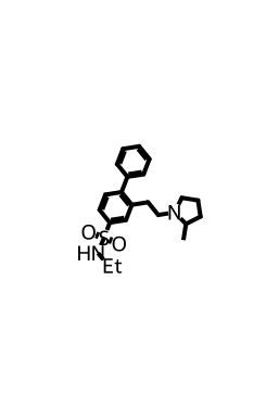 CCNS(=O)(=O)c1ccc(-c2ccccc2)c(CCN2CCCC2C)c1